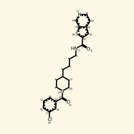 O=C(NCCCCC1CCN(C(=O)c2cccc(Cl)c2)CC1)c1cc2ccncc2s1